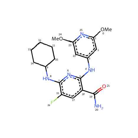 COc1cc(Nc2nc(NC3CCCCC3)c(F)cc2C(N)=O)cc(OC)n1